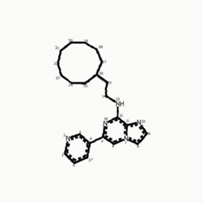 c1cncc(-c2cn3ccnc3c(NCCC3CCCCCCCCC3)n2)c1